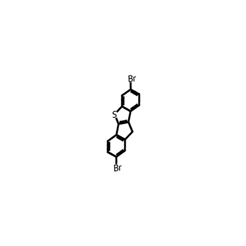 Brc1ccc2c(c1)Cc1c-2sc2cc(Br)ccc12